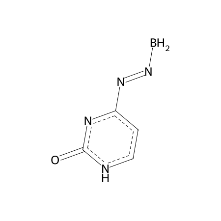 BN=Nc1cc[nH]c(=O)n1